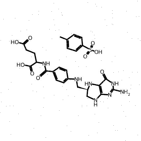 Cc1ccc(S(=O)(=O)O)cc1.Nc1nc2c(c(=O)[nH]1)N[C@H](CNc1ccc(C(=O)NC(CCC(=O)O)C(=O)O)cc1)CN2